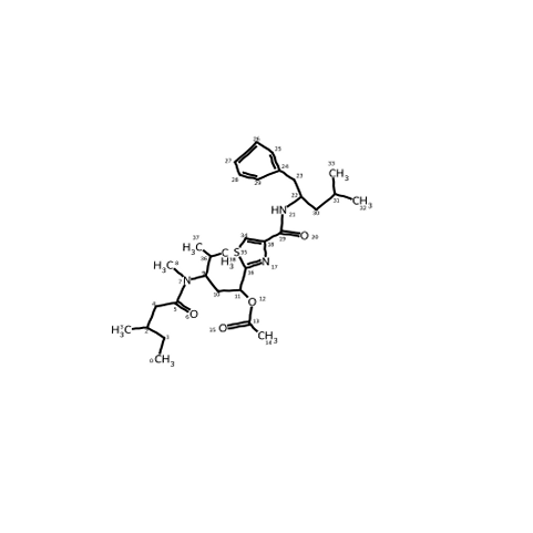 CCC(C)CC(=O)N(C)C(CC(OC(C)=O)c1nc(C(=O)NC(Cc2ccccc2)CC(C)C)cs1)C(C)C